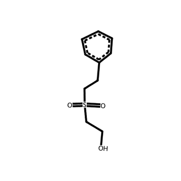 O=S(=O)(CCO)CCc1ccccc1